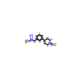 CC(=O)N1CCC(c2cccc(CNC(C)C)c2)CC1